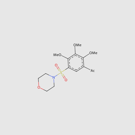 COc1c(C(C)=O)cc(S(=O)(=O)N2CCOCC2)c(OC)c1OC